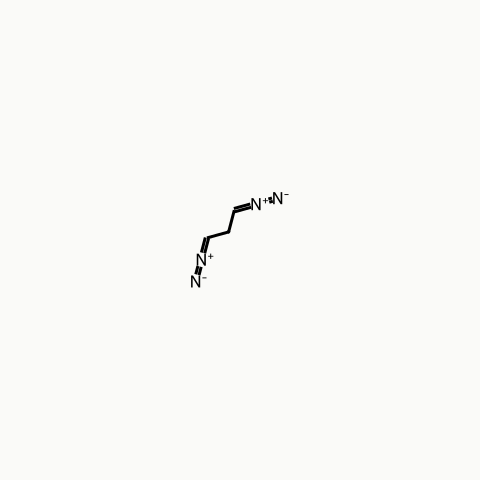 [N-]=[N+]=CCC=[N+]=[N-]